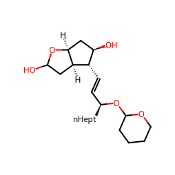 CCCCCCC[C@@H](C=C[C@@H]1[C@H]2CC(O)O[C@H]2C[C@H]1O)OC1CCCCO1